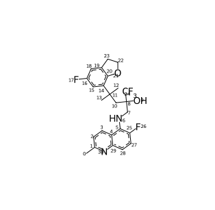 Cc1ccc2c(NCC(O)(CC(C)(C)c3cc(F)cc4c3OCC4)C(F)(F)F)c(F)ccc2n1